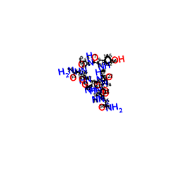 CC[C@H](C)[C@@H]1NC(=O)[C@H](Cc2ccc(O)cc2)NCC[C@@H](C(=O)N(C)CC(=O)N[C@@H](CN)C(=O)NCC(N)=O)NC(=O)[C@H](CC(N)=O)NC(=O)[C@H](CCC(N)=O)NC1=O